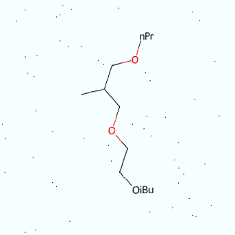 CCCOCC(C)COCCOCC(C)C